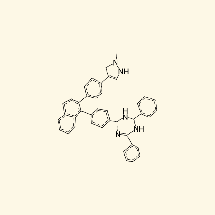 CN1CC(c2ccc(-c3ccc4ccccc4c3-c3ccc(C4N=C(c5ccccc5)NC(c5ccccc5)N4)cc3)cc2)=CN1